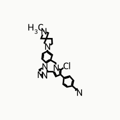 CN1CC2(CCN(c3ccc4c(c3)Cn3c(cc(-c5ccc(C#N)cc5)c3Cl)-c3nncn3-4)C2)C1